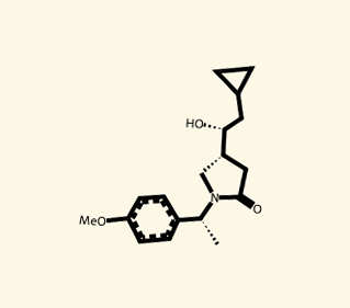 COc1ccc([C@@H](C)N2C[C@H]([C@H](O)CC3CC3)CC2=O)cc1